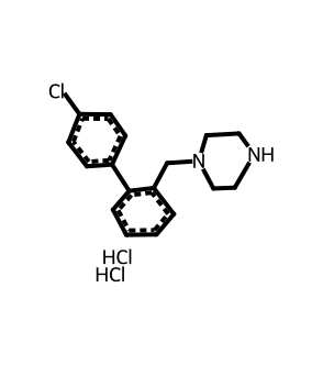 Cl.Cl.Clc1ccc(-c2ccccc2CN2CCNCC2)cc1